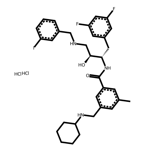 Cc1cc(CNC2CCCCC2)cc(C(=O)N[C@@H](Cc2cc(F)cc(F)c2)[C@@H](O)CNCc2cccc(I)c2)c1.Cl.Cl